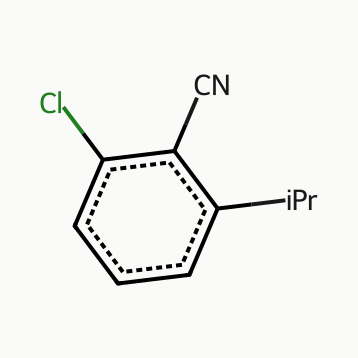 CC(C)c1cccc(Cl)c1C#N